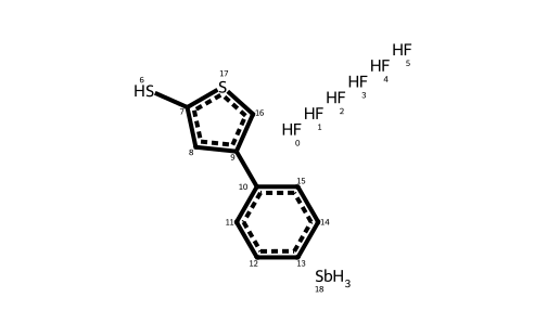 F.F.F.F.F.F.Sc1cc(-c2ccccc2)cs1.[SbH3]